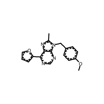 COc1ccc(Cn2c(C)nc3c(-c4ccco4)ncnc32)cc1